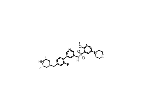 COc1ncc(N2CCOCC2)cc1S(=O)(=O)Nc1cncc(-c2ccc(CN3C[C@@H](C)N[C@@H](C)C3)cc2F)c1